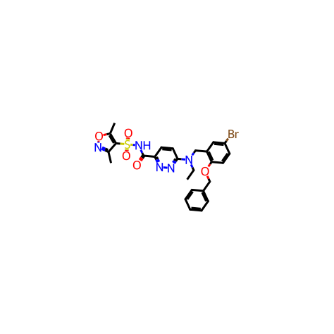 CCN(Cc1cc(Br)ccc1OCc1ccccc1)c1ccc(C(=O)NS(=O)(=O)c2c(C)noc2C)nn1